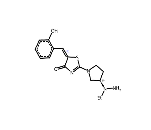 CCN(N)[C@@H]1CCN(C2=NC(=O)/C(=C\c3ccccc3O)S2)C1